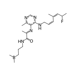 CB(C)CCCNC(=O)/C(C)=N/c1c(C)ncnc1NC/C=C\C(C)=C/C(C)F